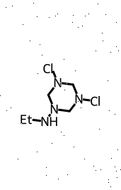 CCNN1CN(Cl)CN(Cl)C1